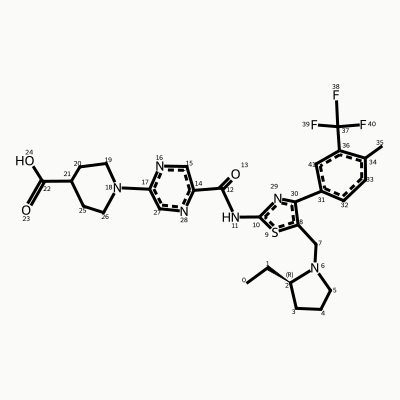 CC[C@@H]1CCCN1Cc1sc(NC(=O)c2cnc(N3CCC(C(=O)O)CC3)cn2)nc1-c1ccc(C)c(C(F)(F)F)c1